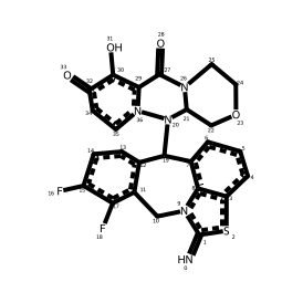 N=c1sc2cccc3c2n1Cc1c(ccc(F)c1F)C3N1C2COCCN2C(=O)c2c(O)c(=O)ccn21